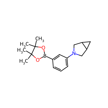 CC1(C)OB(c2cccc(N3CC4CC4C3)c2)OC1(C)C